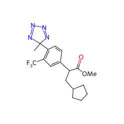 COC(=O)C(CC1CCCC1)c1ccc(C2(C)N=NN=N2)c(C(F)(F)F)c1